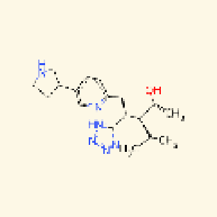 C=C(O)[C@@H](C(C)C)[C@H](Cc1ccc(C2CCNC2)cn1)c1nnn[nH]1